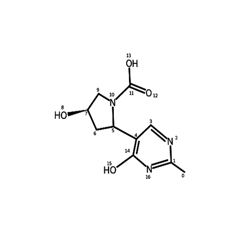 Cc1ncc(C2C[C@@H](O)CN2C(=O)O)c(O)n1